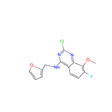 COc1c(F)ccc2c(NCc3ccco3)nc(Cl)nc12